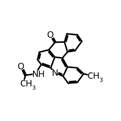 CC(=O)Nc1ccc2c3c(c4cc(C)ccc4nc13)-c1ccccc1C2=O